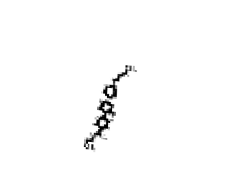 CCCCC[C@H]1CC[C@H](c2ccc(-c3ccc(C(=O)OCCC)cc3)c(F)c2)CC1